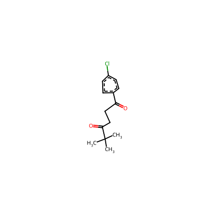 CC(C)(C)C(=O)CCC(=O)c1ccc(Cl)cc1